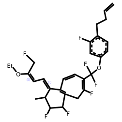 C=CCCc1ccc(OC(F)(F)C2=C(F)CC3=C(C=C2)/C(=C/C=C(\CF)OCC)C(C)C(F)C3F)cc1F